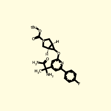 CC(C)(C)OC(=O)N1C[C@@H]2C(Oc3cc(C(C)(N)C(N)=O)cc(-c4ccc(F)cc4)n3)[C@@H]2C1